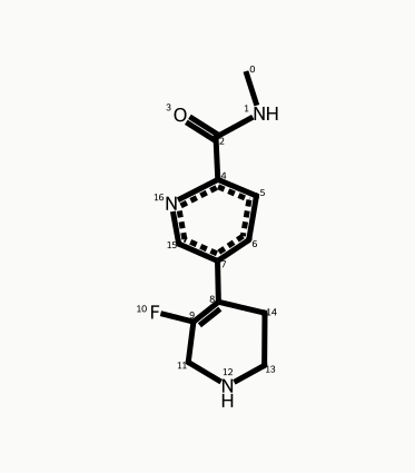 CNC(=O)c1ccc(C2=C(F)CNCC2)cn1